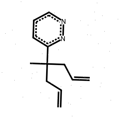 C=CCC(C)(CC=C)c1cccnn1